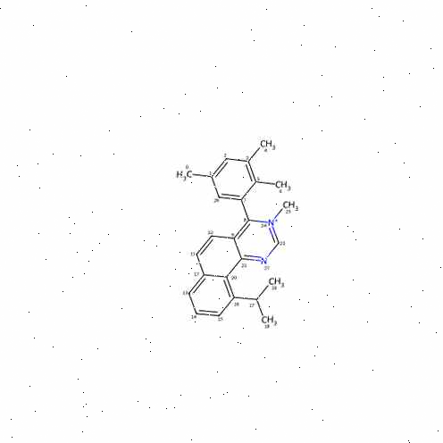 Cc1cc(C)c(C)c(-c2c3ccc4cccc(C(C)C)c4c3nc[n+]2C)c1